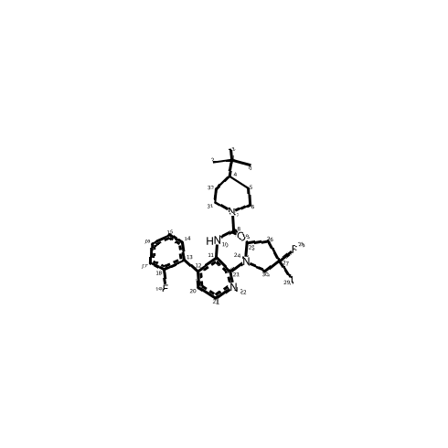 CC(C)(C)C1CCN(C(=O)Nc2c(-c3ccccc3F)ccnc2N2CCC(F)(I)C2)CC1